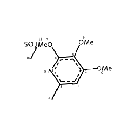 COc1cc(C)nc(OC)c1OC.CS(=O)(=O)O